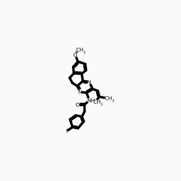 COc1ccc2c(c1)CCc1nc(NC(=O)Cc3ccc(I)cc3)c(C=C(C)C)nc1-2